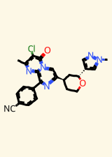 Cc1nc2c(-c3ccc(C#N)cc3)nc([C@@H]3CCO[C@@H](c4cnn(C)c4)C3)cn2c(=O)c1Cl